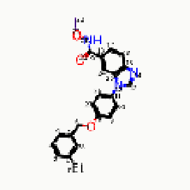 CCc1cccc(COc2ccc(-n3cnc4ccc(C(=O)NOI)cc43)cc2)c1